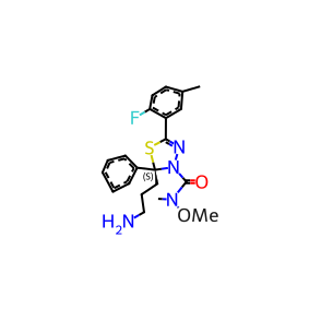 CON(C)C(=O)N1N=C(c2cc(C)ccc2F)S[C@@]1(CCCN)c1ccccc1